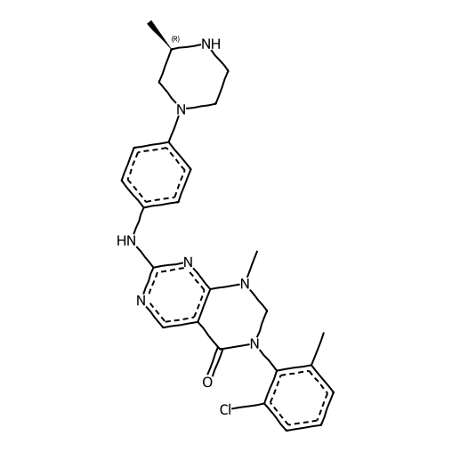 Cc1cccc(Cl)c1N1CN(C)c2nc(Nc3ccc(N4CCN[C@H](C)C4)cc3)ncc2C1=O